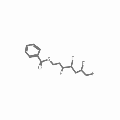 O=C(SCCC(F)C(F)CC(F)CF)c1ccccc1